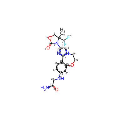 CC1(C(F)F)COC(=O)N1c1cn2c(n1)-c1ccc(NCC(N)=O)cc1OCC2